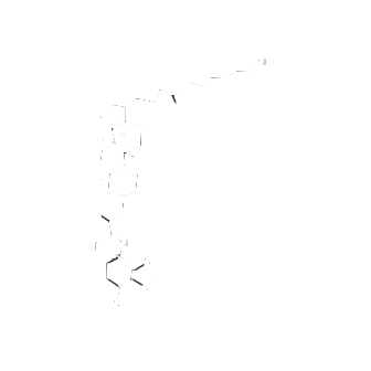 C[C@H](CCC(=O)OCCOCCN)C1CC[C@H]2[C@@H]3CC[C@@H]4C[C@H](OC(=O)[C@H](CC(=O)O)Nc5ccc([N+](=O)[O-])c6nonc56)CC[C@]4(C)[C@H]3CC[C@]12C